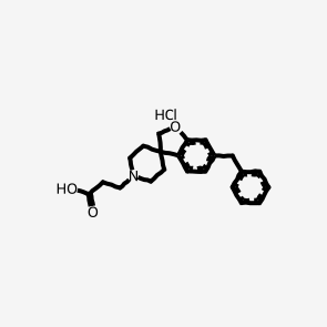 Cl.O=C(O)CCN1CCC2(CC1)COc1cc(Cc3ccccc3)ccc12